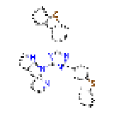 c1ccc2c(c1)sc1ccc(-c3nc(-c4ccc5sc6ccccc6c5c4)nc(-n4c5ncccc5c5cccnc54)n3)cc12